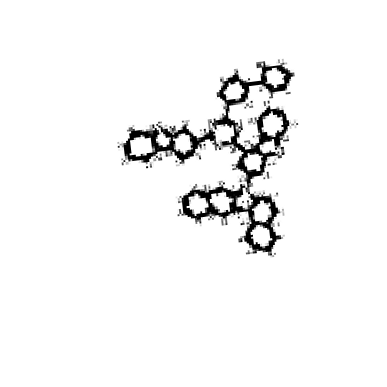 c1ccc(-c2cccc(-c3nc(-c4ccc5c(c4)sc4ccccc45)nc(-c4cc(-n5c6cc7ccccc7cc6c6c7ccccc7ccc65)cc5oc6ccccc6c45)n3)c2)cc1